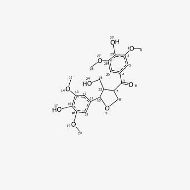 COc1cc(C(=O)C2COC(c3cc(OC)c(O)c(OC)c3)C2CO)cc(OC)c1O